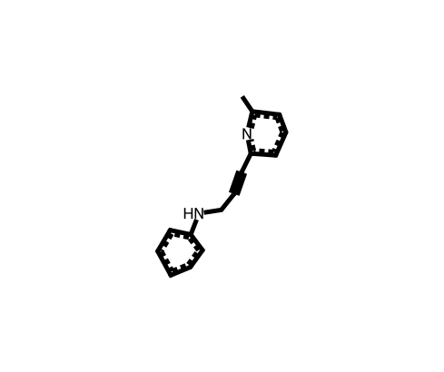 Cc1cccc(C#CCNc2ccccc2)n1